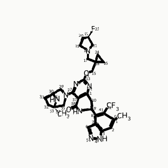 Cc1cc2[nH]ncc2c(C2Cc3nc(OCC4(CN5CC[C@@H](F)C5)CC4)nc(N4CC5CC[C@](C)(C4)N5)c3C(=O)N2)c1C(F)(F)F